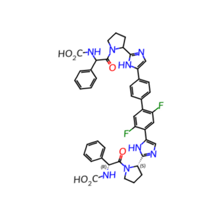 O=C(O)NC(C(=O)N1CCCC1c1ncc(-c2ccc(-c3cc(F)c(-c4cnc([C@@H]5CCCN5C(=O)[C@H](NC(=O)O)c5ccccc5)[nH]4)cc3F)cc2)[nH]1)c1ccccc1